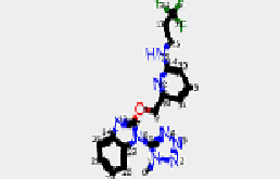 Cn1nnnc1-n1c(OCc2cccc(NCCC(F)(F)F)n2)nc2ccccc21